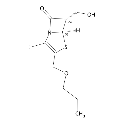 [C]C1=C(COCCC)S[C@@H]2[C@@H](CO)C(=O)N12